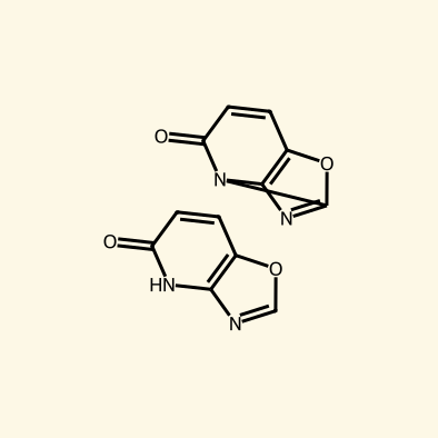 O=c1ccc2oc3nc2n1-3.O=c1ccc2ocnc2[nH]1